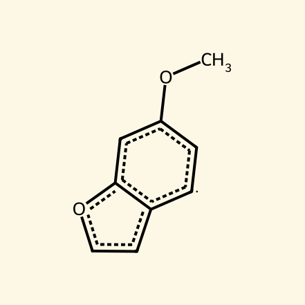 COc1c[c]c2ccoc2c1